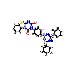 O=c1nc2sc3ccccc3n2c(=O)n1-c1ccc(-c2nc(-c3ccccc3)nc(-c3ccccc3)n2)cc1